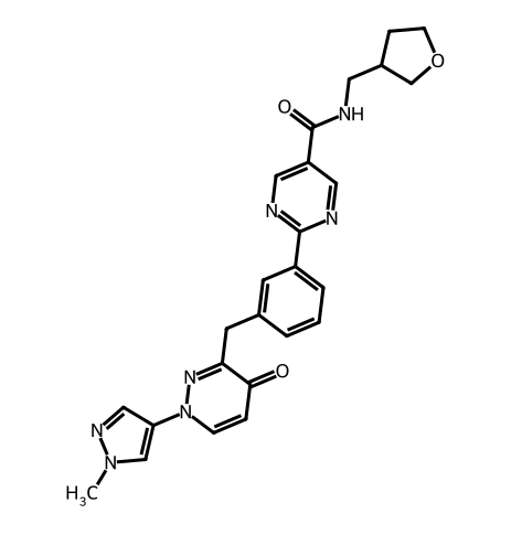 Cn1cc(-n2ccc(=O)c(Cc3cccc(-c4ncc(C(=O)NCC5CCOC5)cn4)c3)n2)cn1